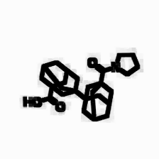 O=C(O)C12CC3CC(C1)CC(C14CC5CC(CC(C(=O)N6CCCC6)(C5)C1)C4)(C3)C2